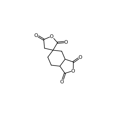 O=C1CC2(CCC3C(=O)OC(=O)C3C2)C(=O)O1